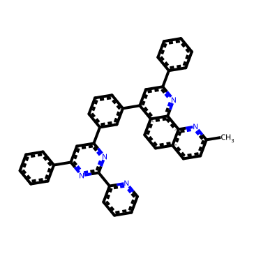 Cc1ccc2ccc3c(-c4cccc(-c5cc(-c6ccccc6)nc(-c6ccccn6)n5)c4)cc(-c4ccccc4)nc3c2n1